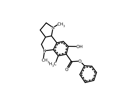 Cc1c(C(=O)Oc2ccccc2)c(O)cc2c1N(C)CC1CCN(C)C21